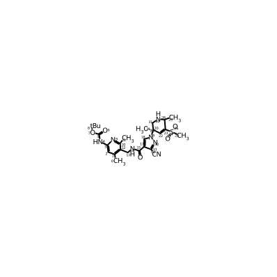 Cc1cc(NC(=O)OC(C)(C)C)nc(C)c1CNC(=O)c1cn([C@]2(C)C=C(S(C)(=O)=O)C(C)NC2)nc1C#N